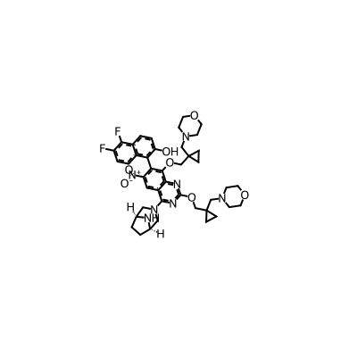 O=[N+]([O-])c1cc2c(N3C[C@H]4CC[C@@H](C3)N4)nc(OCC3(CN4CCOCC4)CC3)nc2c(OCC2(CN3CCOCC3)CC2)c1-c1c(O)ccc2c(F)c(F)ccc12